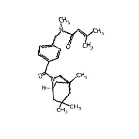 CC(C)=CC(=O)N(C)Cc1ccc(C(=O)N2CC3(C)C[C@H]2CC(C)(C)C3)cc1